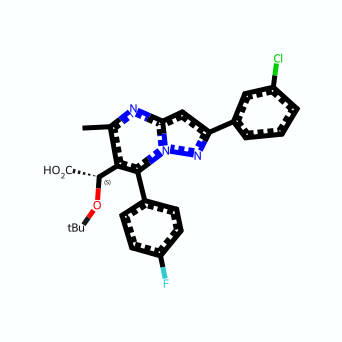 Cc1nc2cc(-c3cccc(Cl)c3)nn2c(-c2ccc(F)cc2)c1[C@H](OC(C)(C)C)C(=O)O